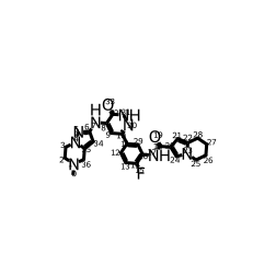 CN1CCn2nc(Nc3cc(-c4ccc(F)c(NC(=O)c5cc6n(c5)CCCC6)c4)n[nH]c3=O)cc2C1